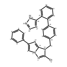 CCc1nn2cc(-c3ccccc3)nc2n1Cc1ccc(-c2ccccc2-c2nnn[nH]2)cc1